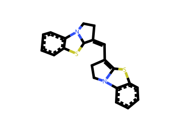 C(=C1CCN2c3ccccc3SC12)C1=C2Sc3ccccc3N2CC1